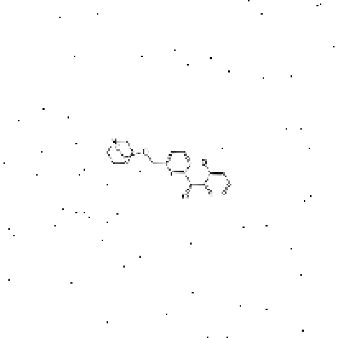 O=c1c2ccccc2oc2ccc(COC3CN4CCC3CC4)cc12